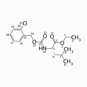 CCOC(=O)[C@H](CC(C)C)NC(=O)OCc1ccccc1Cl